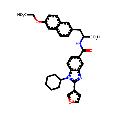 O=C(O)COc1ccc2cc(CC(NC(=O)c3ccc4c(c3)nc(-c3ccoc3)n4C3CCCCC3)C(=O)O)ccc2c1